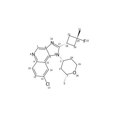 C[C@@H]1C[C@H](n2c3c(cnc4ccc(Cl)cc43)nc2[C@H]2C[C@@](C)(F)C2)CCO1